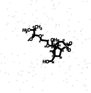 C=C(C)C(=O)OCCOC1C2CS(=O)(=O)C3CC1(CO)CC23CO